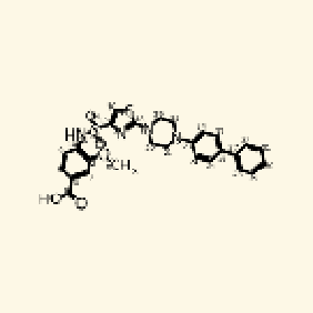 COc1cc(C(=O)O)ccc1NS(=O)(=O)c1csc(N2CCN(c3ccc(-c4ccccc4)cc3)CC2)n1